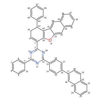 C1=C(c2nc(-c3ccccc3)nc(-c3ccc(-c4ccc5ccccc5c4)cc3)n2)c2oc3cc4ccccc4cc3c2C(c2ccccc2)C1